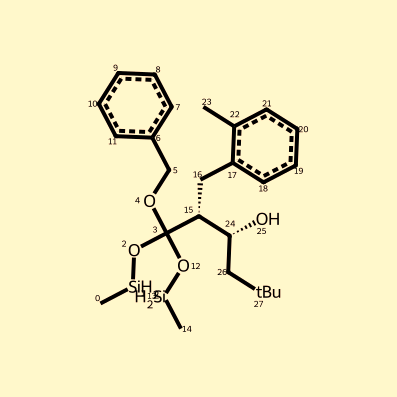 C[SiH2]OC(OCc1ccccc1)(O[SiH2]C)[C@H](Cc1ccccc1C)[C@H](O)CC(C)(C)C